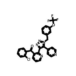 O=C(c1ccccc1Cl)c1cccnc1-c1nnn(Cc2cccc(OC(F)(F)F)c2)c1-c1ccncc1